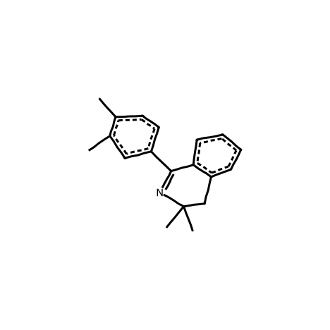 Cc1ccc(C2=NC(C)(C)Cc3ccccc32)cc1C